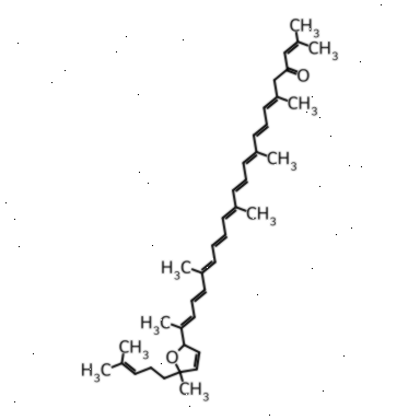 CC(C)=CCCC1(C)C=CC(/C(C)=C/C=C/C(C)=C/C=C/C=C(C)/C=C/C=C(C)/C=C/C=C(\C)CC(=O)C=C(C)C)O1